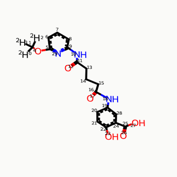 [2H]C([2H])([2H])Oc1cccc(NC(=O)CCCC(=O)Nc2ccc(O)c(C(=O)O)c2)n1